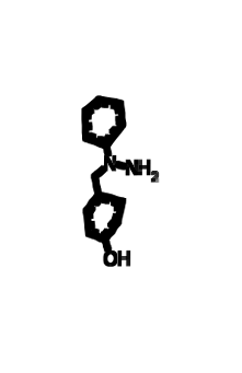 NN(Cc1ccc(O)cc1)c1ccccc1